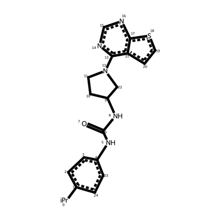 CC(C)c1ccc(NC(=O)NC2CCN(c3ncnc4sccc34)C2)cc1